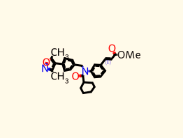 COC(=O)/C=C/c1cccc(N(Cc2ccc(-c3c(C)noc3C)cc2)C(=O)C2CCCCC2)c1